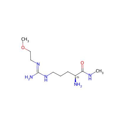 CNC(=O)[C@@H](N)CCCNC(N)=NCCOC